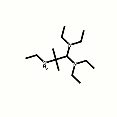 CC[SiH2]C(C)(C)C(N(CC)CC)N(CC)CC